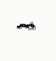 CN(C)CC(=O)N(C)c1ccc(-n2cc(CNC(=O)c3ccc(Cl)s3)nn2)cc1